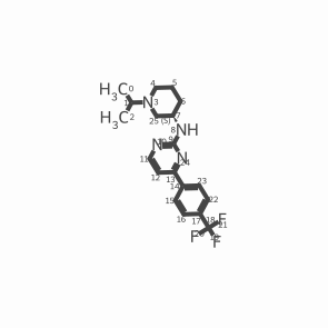 CC(C)N1CCC[C@H](Nc2nccc(-c3ccc(C(F)(F)F)cc3)n2)C1